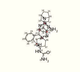 NC(=O)N[C@H]1CC[C@H](c2cnc(N3C4CCC3CN(c3cc(-c5ccccc5O)nnc3N)C4)nc2)CC1